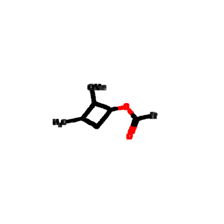 CCC(=O)OC1CC(C)C1OC